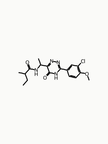 CCC(C)C(=O)NC(C)c1nnc(-c2ccc(OC)c(Cl)c2)[nH]c1=O